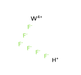 [F-].[F-].[F-].[F-].[F-].[F-].[H+].[W+4]